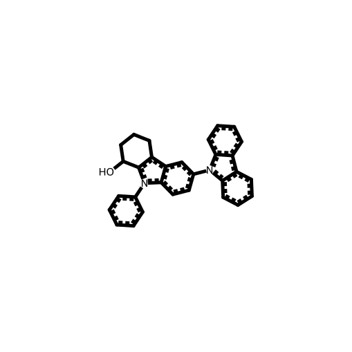 OC1CCCc2c1n(-c1ccccc1)c1ccc(-n3c4ccccc4c4ccccc43)cc21